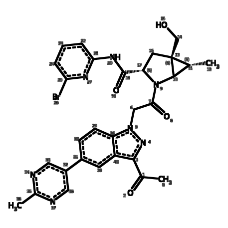 CC(=O)c1nn(CC(=O)N2C3[C@@H](C)[C@@]3(CO)C[C@H]2C(=O)Nc2cccc(Br)n2)c2ccc(-c3cnc(C)nc3)cc12